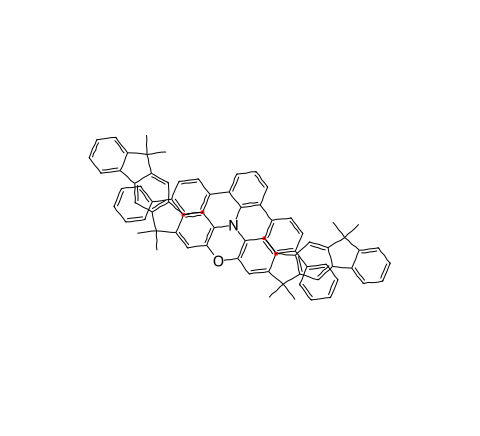 CC1(C)c2ccccc2-c2cc3c(cc21)-c1cc2c(cc1C3(C)C)Oc1cc3c(cc1N2c1c(-c2ccc(-c4ccccc4)cc2)cccc1-c1ccc(-c2ccccc2)cc1)-c1cc2c(cc1C3(C)C)-c1ccccc1C2(C)C